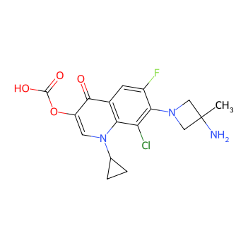 CC1(N)CN(c2c(F)cc3c(=O)c(OC(=O)O)cn(C4CC4)c3c2Cl)C1